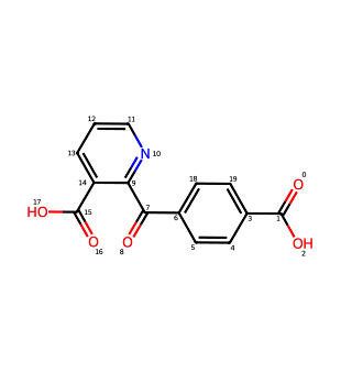 O=C(O)c1ccc(C(=O)c2ncccc2C(=O)O)cc1